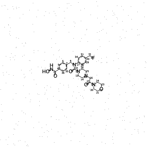 O=C(NO)c1ccc(CN(C(=O)N2CCN(CC(=O)N3CCOCC3)CC2)c2ccc(CF)cc2)cc1